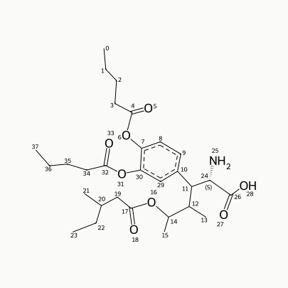 CCCCC(=O)Oc1ccc(C(C(C)C(C)OC(=O)CC(C)CC)[C@H](N)C(=O)O)cc1OC(=O)CCCC